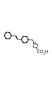 O=C(O)C1CN(Cc2ccc(C=Cc3ccccc3)cc2)C1